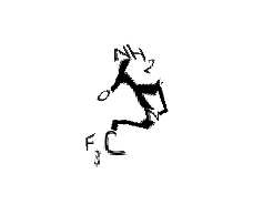 NC(=O)C1[CH]CN1CCC(F)(F)F